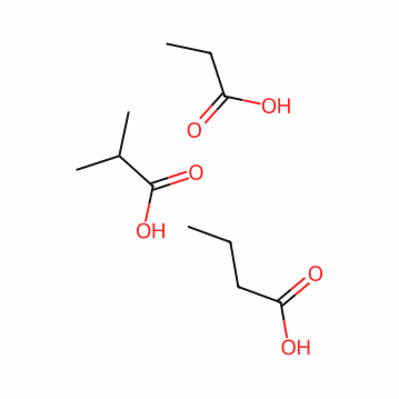 CC(C)C(=O)O.CCC(=O)O.CCCC(=O)O